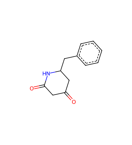 O=C1CC(=O)NC(Cc2ccccc2)C1